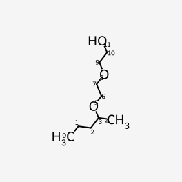 CCCC(C)OCCOCCO